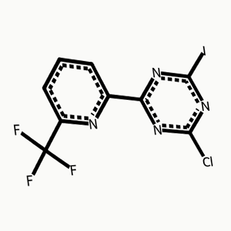 FC(F)(F)c1cccc(-c2nc(Cl)nc(I)n2)n1